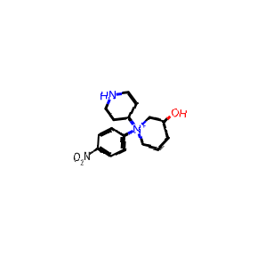 O=[N+]([O-])c1ccc([N+]2(C3CCNCC3)CCCC(O)C2)cc1